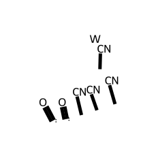 CC#N.CC#N.CC#N.CC#N.[C]=O.[C]=O.[W]